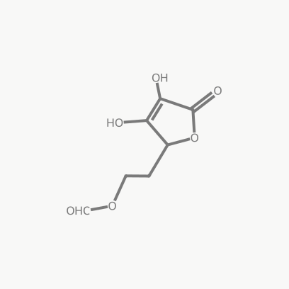 O=COCCC1OC(=O)C(O)=C1O